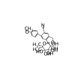 COc1ccc(-c2cc3c(cc2C#N)CO[C@]32OC(C)(C)C(O)(O)C(O)(O)C2(O)O)cc1